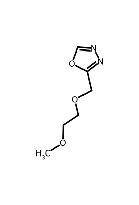 COCCOCc1nn[c]o1